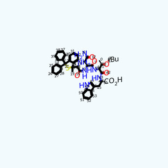 C[C@@H](OC(C)(C)C)[C@H](NC(=O)[C@H](CC(N)=O)NC(=O)[C@@H](N)C(C)(C)SC(c1ccccc1)(c1ccccc1)c1ccccc1)C(=O)N[C@@H](Cc1c[nH]c2ccccc12)C(=O)O